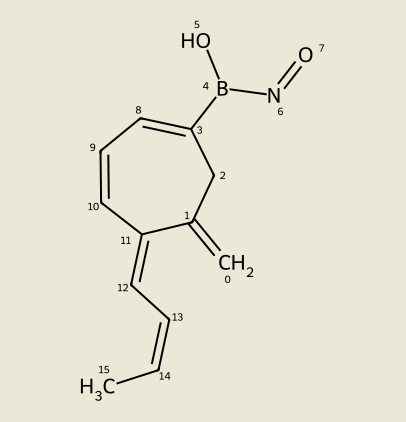 C=C1CC(B(O)N=O)=CC=C/C1=C/C=C\C